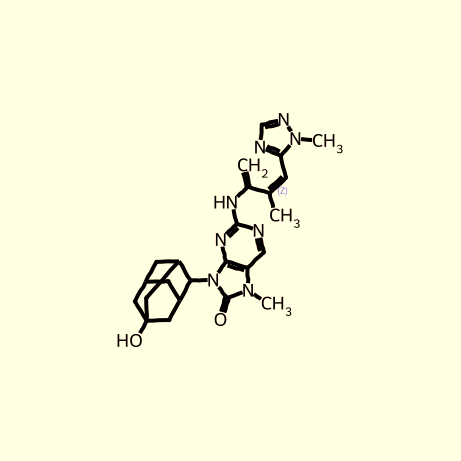 C=C(Nc1ncc2c(n1)n(C1C3CC4CC1CC(O)(C4)C3)c(=O)n2C)/C(C)=C\c1ncnn1C